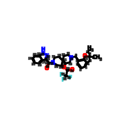 CC1(C)Cc2cccc(CN3CCC4(CCN(C(=O)c5n[nH]c6ccccc56)CC4)C(OC(=O)C(F)(F)F)C3)c2O1